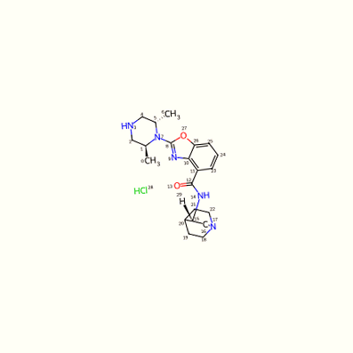 C[C@H]1CNC[C@H](C)N1c1nc2c(C(=O)N[C@@H]3CN4CCC3CC4)cccc2o1.Cl